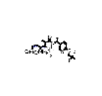 C=C(C(=O)NC(C)c1ccc(OCC(C)(F)F)nc1)/C(N)=C(\C=C/C)NC=O